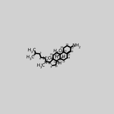 CC(C)CCC[C@@H](C)[C@H]1CC[C@H]2[C@@H]3CCC4=CC(N)CC[C@]4(C)[C@H]3CC[C@]12C